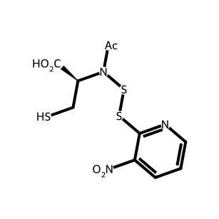 CC(=O)N(SSc1ncccc1[N+](=O)[O-])[C@@H](CS)C(=O)O